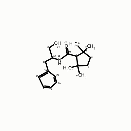 CC1(C)CCC(C)(C)C1C(=O)NC(CO)Cc1ccccc1